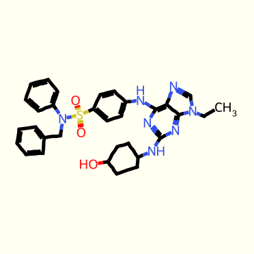 CCn1cnc2c(Nc3ccc(S(=O)(=O)N(Cc4ccccc4)c4ccccc4)cc3)nc(NC3CCC(O)CC3)nc21